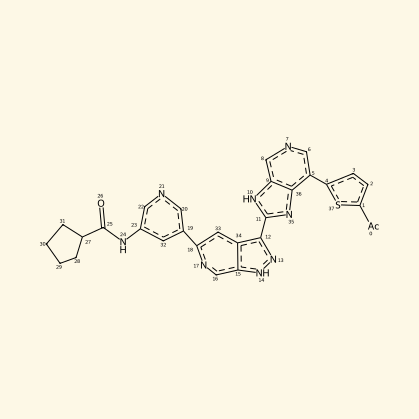 CC(=O)c1ccc(-c2cncc3[nH]c(-c4n[nH]c5cnc(-c6cncc(NC(=O)C7CCCC7)c6)cc45)nc23)s1